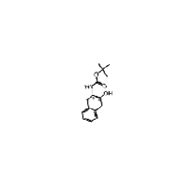 CC(C)(C)OC(=O)N[C@H]1Cc2ccccc2C[C@@H]1O